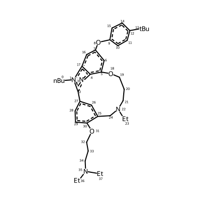 CCCCn1c2nc3c(cc(Oc4ccc(C(C)(C)C)cc4)cc31)OCCCN(CC)Cc1cc-2ccc1OCCCN(CC)CC